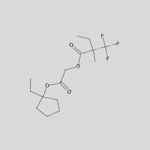 CCC1(OC(=O)COC(=O)C(C)(CC)C(F)(F)F)CCCC1